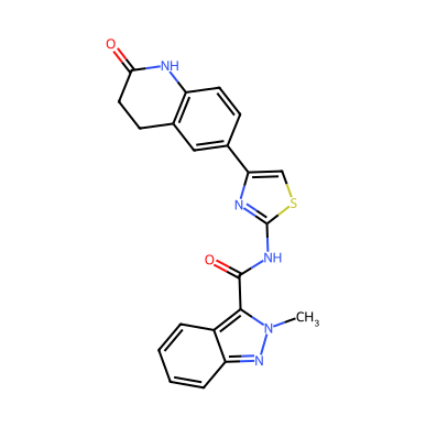 Cn1nc2ccccc2c1C(=O)Nc1nc(-c2ccc3c(c2)CCC(=O)N3)cs1